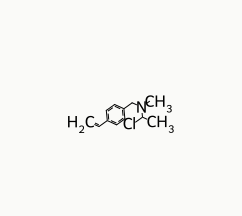 C=Cc1ccc(CN(C)C(C)Cl)cc1